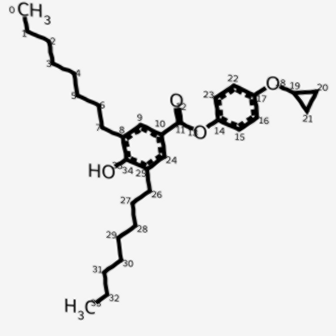 CCCCCCCCc1cc(C(=O)Oc2ccc(OC3CC3)cc2)cc(CCCCCCCC)c1O